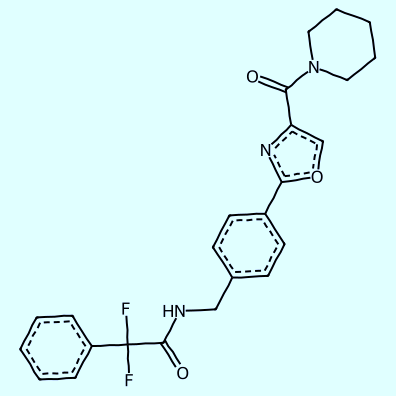 O=C(c1coc(-c2ccc(CNC(=O)C(F)(F)c3ccccc3)cc2)n1)N1CCCCC1